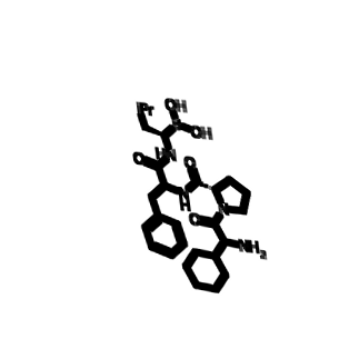 CC(C)C[C@H](NC(=O)C(Cc1ccccc1)NC(=O)[C@@H]1CCCN1C(=O)C(N)C1CCCCC1)B(O)O